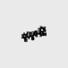 O=C(NCc1c(F)cccc1Cl)c1coc(-c2c[nH]c3ncccc23)c1